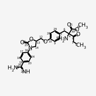 CCC(=O)C(N)(Cc1ccc(OCC2CN(c3ccc(C(=N)N)cc3)C(=O)O2)cc1)C(=O)OC